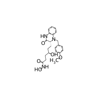 COc1ccc(CN2c3ccccc3NC(=O)[C@H]2CC[C@@H](O)CCC(=O)NO)cc1